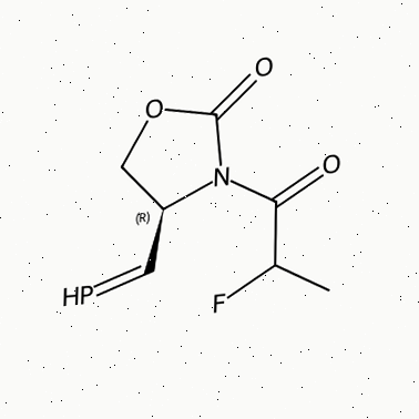 CC(F)C(=O)N1C(=O)OC[C@@H]1C=P